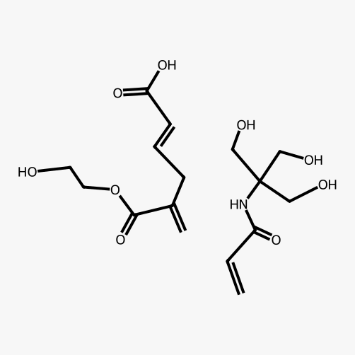 C=C(CC=CC(=O)O)C(=O)OCCO.C=CC(=O)NC(CO)(CO)CO